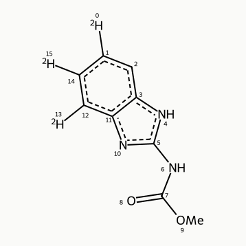 [2H]c1cc2[nH]c(NC(=O)OC)nc2c([2H])c1[2H]